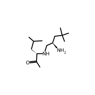 CC(=O)[C@H](CC(C)C)NC[C@H](N)CC(C)(C)C